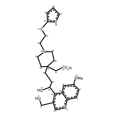 COc1ccc2ncc(CO)c(C(O)CCC3(CC(=O)O)CCN(CCSc4cccs4)CC3)c2c1